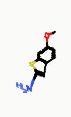 COc1ccc2cc(N)sc2c1